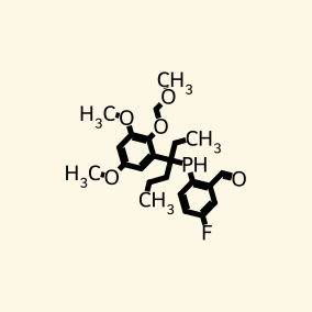 CCCC(CC)(Pc1ccc(F)cc1C=O)c1cc(OC)cc(OC)c1OCOC